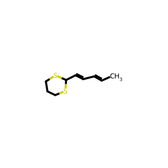 CC=CC=CC1SCCCS1